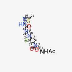 CC(=O)NC[C@H]1CN(c2ccc(N3CCN(CC(=O)Nc4ncc(C)s4)CC3)c(F)c2)C(=O)O1